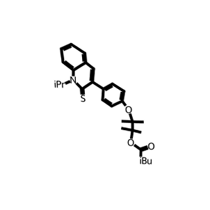 CCC(C)C(=O)OC(C)(C)C(C)(C)Oc1ccc(-c2cc3ccccc3n(C(C)C)c2=S)cc1